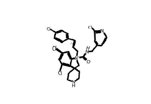 O=C(NCc1ccnc(Cl)c1)[N+]1(C/C=C/c2ccc(Cl)cc2)CC2(CCNCC2)c2c(Cl)cc(Cl)cc21